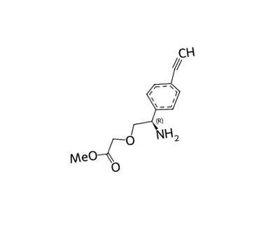 C#Cc1ccc([C@@H](N)COCC(=O)OC)cc1